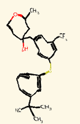 CC1CC(O)(c2cc(Sc3cccc(C(C)(C)C#N)c3)cc(C(F)(F)F)c2)CCO1